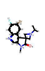 CC(C)N1CC2(C1)C(=O)N(C)c1cnc3cc(F)c(Br)cc3c12